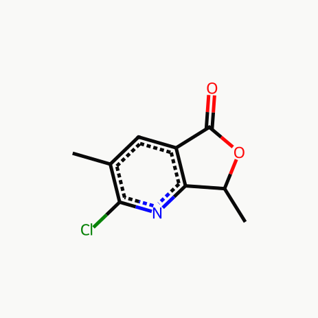 Cc1cc2c(nc1Cl)C(C)OC2=O